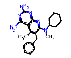 Cc1c(Cc2ccccc2)c(N(C)C2CCCCC2)nc2nc(N)nc(N)c12